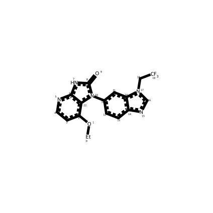 CCOc1ccnc2[nH]c(=O)n(-c3ccc4ncn(CC(F)(F)F)c4c3)c12